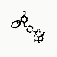 O=C(OC(C(F)(F)F)C(F)(F)F)N1CCN(Cc2ccc(Cl)cc2N2C3CCC2COC3)CC1